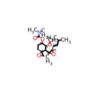 CO[C@H]1C([C@@]2(C)O[C@@H]2/C=C/C(C)C)[C@]2(CC[C@H]1OC(=O)N(C)C)CO2